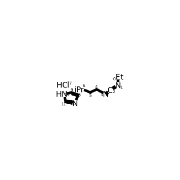 CCN=C=NCCC(C)C.Cl.c1c[nH]cn1